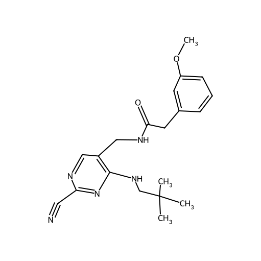 COc1cccc(CC(=O)NCc2cnc(C#N)nc2NCC(C)(C)C)c1